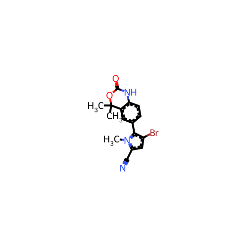 Cn1c(C#N)cc(Br)c1-c1ccc2c(c1)C(C)(C)OC(=O)N2